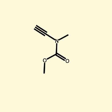 C#CN(C)C(=O)OC